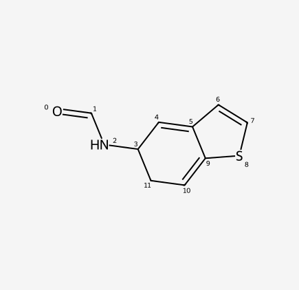 O=CNC1C=c2ccsc2=CC1